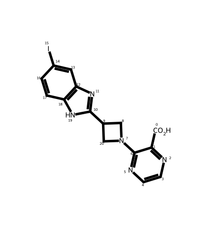 O=C(O)c1nccnc1N1CC(c2nc3cc(I)ccc3[nH]2)C1